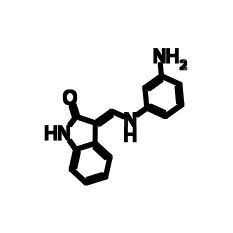 Nc1cccc(N/C=C2/C(=O)Nc3ccccc32)c1